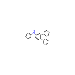 c1ccc(Nc2ccc(-c3ccccc3)c(-c3ccccc3)c2)cc1